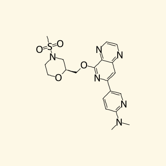 CN(C)c1ccc(-c2cc3nccnc3c(OC[C@@H]3CN(S(C)(=O)=O)CCO3)n2)cn1